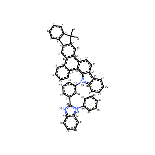 CC1(C)c2ccccc2-c2cc3c4ccccc4c4c(ccc5c6ccccc6n(-c6cccc(-c7nc8ccccc8n7-c7ccccc7)c6)c54)c3cc21